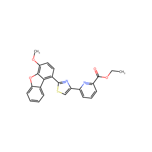 CCOC(=O)c1cccc(-c2csc(-c3ccc(OC)c4oc5ccccc5c34)n2)n1